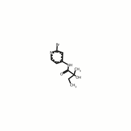 CCC(C)(O)C(=O)Nc1ccnc(Br)c1